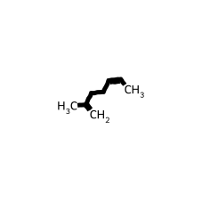 C=C(C)CC/C=C\C